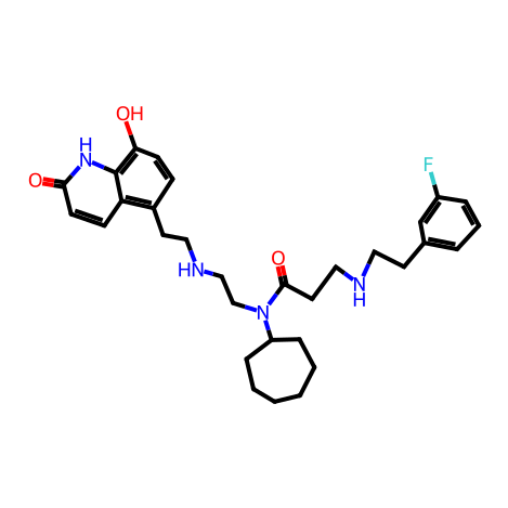 O=C(CCNCCc1cccc(F)c1)N(CCNCCc1ccc(O)c2[nH]c(=O)ccc12)C1CCCCCC1